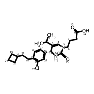 CC(C)C1=CN(CCCC(=O)O)C(=O)N[C@@H]1c1ccc(CCC2CCC2)c(Cl)c1